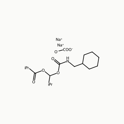 CC(C)C(=O)OC(OC(=O)NCC1CCCCC1)C(C)C.O=C([O-])[O-].[Na+].[Na+]